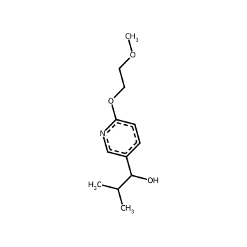 COCCOc1ccc(C(O)C(C)C)cn1